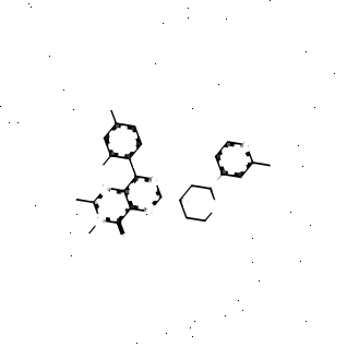 Cc1cc([C@@H]2C[C@@H](c3nc(-c4ccc(Cl)cc4F)c4nc(C)n(C)c(=O)c4n3)CCO2)ccn1